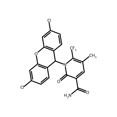 Cc1cc(C(N)=O)c(=O)n(C2c3ccc(Cl)cc3Oc3cc(Cl)ccc32)c1C(F)(F)F